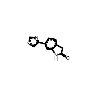 O=C1Cc2ccc(-c3cscn3)cc2N1